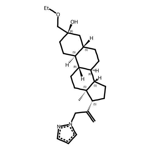 C=C(Cn1cccn1)[C@H]1CC[C@H]2[C@@H]3CC[C@H]4C[C@@](O)(COCC)CC[C@@H]4[C@H]3CC[C@]12C